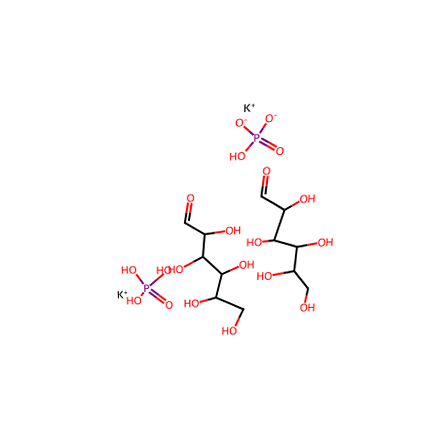 O=CC(O)C(O)C(O)C(O)CO.O=CC(O)C(O)C(O)C(O)CO.O=P(O)(O)O.O=P([O-])([O-])O.[K+].[K+]